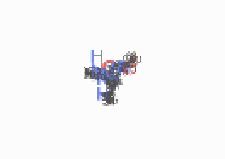 C[C@@H]1CN(C(=O)c2nc(Nc3cc(C4CC4)[nH]n3)c3cc(C#C[Si](C)(C)C)ccc3n2)CCN1C(=O)OC(C)(C)C